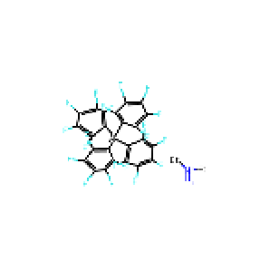 CC[NH2+]CC.Fc1c(F)c(F)[c]([Al-]([c]2c(F)c(F)c(F)c(F)c2F)([c]2c(F)c(F)c(F)c(F)c2F)[c]2c(F)c(F)c(F)c(F)c2F)c(F)c1F